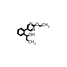 CCOc1ncc(-c2ccccc2C(O)CC)cn1